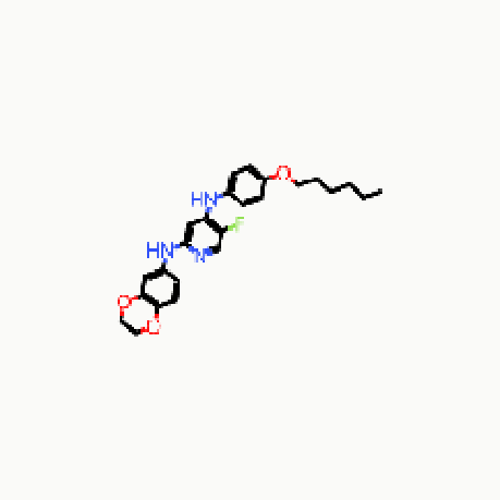 CCCCCCOc1ccc(Nc2cc(Nc3ccc4c(c3)OCCO4)ncc2F)cc1